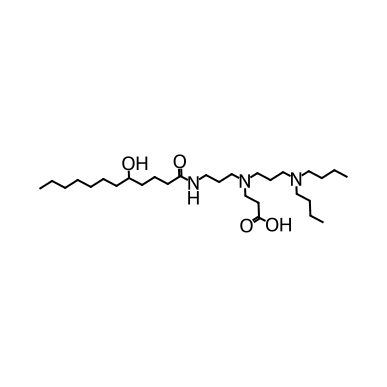 CCCCCCCC(O)CCCC(=O)NCCCN(CCCN(CCCC)CCCC)CCC(=O)O